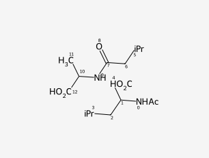 CC(=O)NC(CC(C)C)C(=O)O.CC(C)CC(=O)NC(C)C(=O)O